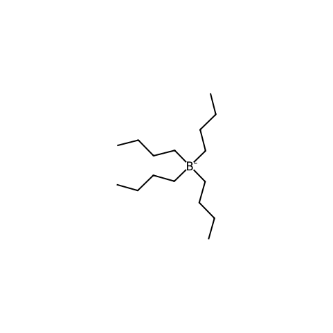 CCCC[B-](CCCC)(CCCC)CCCC